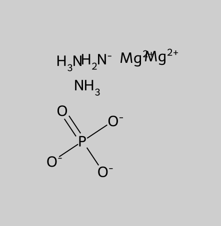 N.N.O=P([O-])([O-])[O-].[Mg+2].[Mg+2].[NH2-]